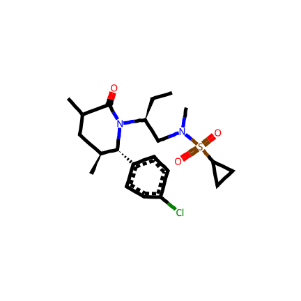 CC[C@@H](CN(C)S(=O)(=O)C1CC1)N1C(=O)C(C)C[C@H](C)[C@H]1c1ccc(Cl)cc1